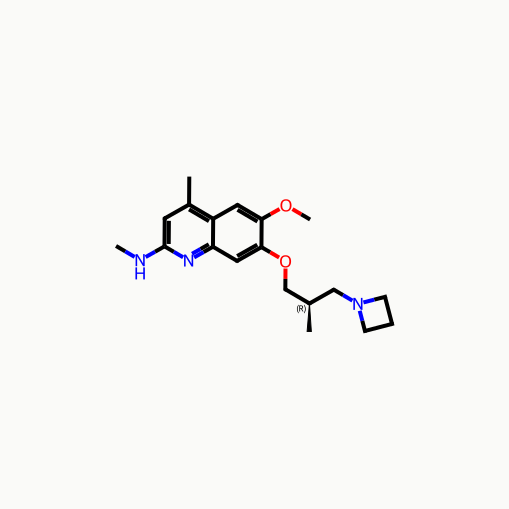 CNc1cc(C)c2cc(OC)c(OC[C@H](C)CN3CCC3)cc2n1